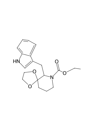 CCOC(=O)N1CCCC2(OCCO2)C1Cc1c[nH]c2ccccc12